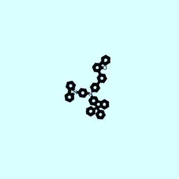 c1ccc(C2(c3ccccc3)c3ccccc3-c3cc(N(c4ccc(-c5cccc(-c6cccc7c6oc6ccccc67)c5)cc4)c4ccc(-n5c6ccccc6c6ccccc65)cc4)ccc32)cc1